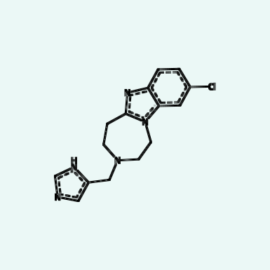 Clc1ccc2nc3n(c2c1)CCN(Cc1cnc[nH]1)CC3